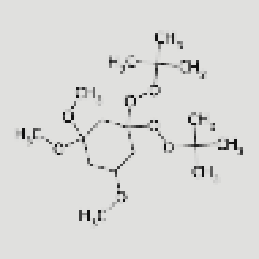 COC1CC(OC)(OC)CC(OOC(C)(C)C)(OOC(C)(C)C)C1